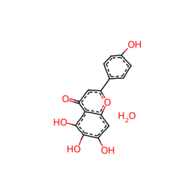 O.O=c1cc(-c2ccc(O)cc2)oc2cc(O)c(O)c(O)c12